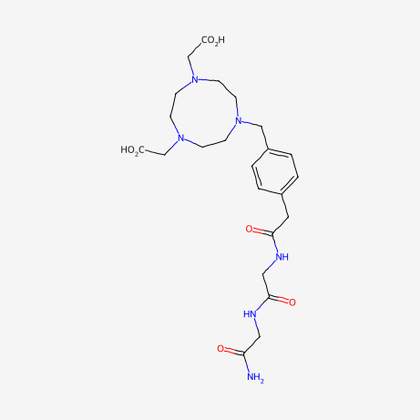 NC(=O)CNC(=O)CNC(=O)Cc1ccc(CN2CCN(CC(=O)O)CCN(CC(=O)O)CC2)cc1